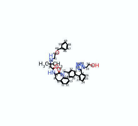 CC(C)(CC(=O)N[C@@H]1CCc2ccccc2N(Cc2ccc(-c3ccccc3-c3nnnn3CCO)cc2)C1=O)NCCOCc1ccccc1